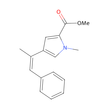 COC(=O)c1cc(C(C)=Cc2ccccc2)cn1C